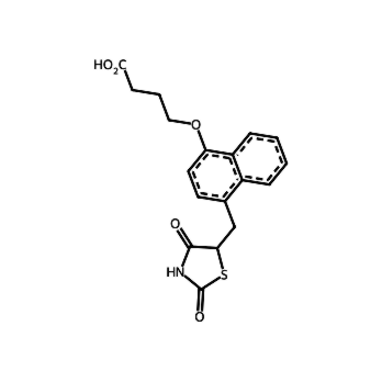 O=C(O)CCCOc1ccc(CC2SC(=O)NC2=O)c2ccccc12